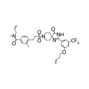 C=CCCOc1cc(C2=NC3(CCN(S(=O)(=O)CCc4ccc(C(=O)N(C)CC=C)cc4C)CC3)C(=O)N2)cc(C(F)(F)F)c1